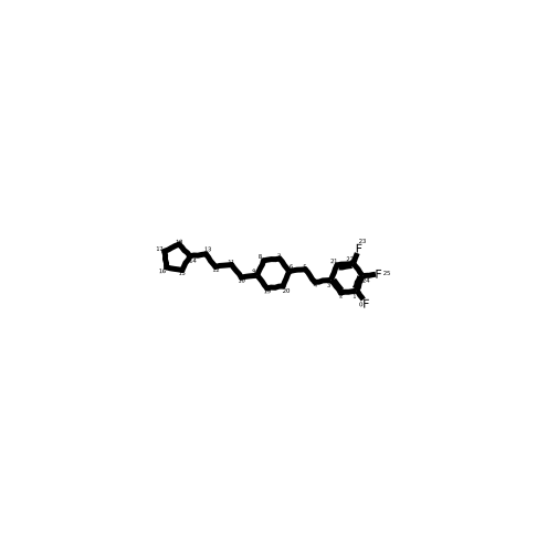 Fc1cc(CCC2CCC(CCCCC3CCCC3)CC2)cc(F)c1F